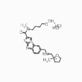 COCCCCN(C)C(=O)c1cn2c(nc3ccc(CNC[C@@]4(C)CCCO4)cc32)s1.Cl.Cl